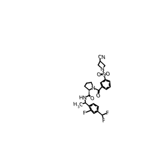 CC(NC(=O)[C@H]1CCCN1C(=O)c1cccc(S(=O)(=O)N2CC(C#N)C2)c1)c1ccc(C(F)F)cc1F